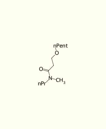 CCCCCOCCC(=O)N(C)CCC